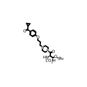 C[C@H](OC(C)(C)C)[C@@H](NC(=O)O)C(=O)N1CCN(CCCOc2ccc(C(=O)C3CC3)cc2)CC1